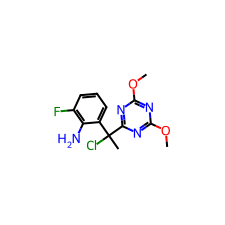 COc1nc(OC)nc(C(C)(Cl)c2cccc(F)c2N)n1